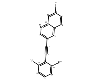 Fc1ccc2cc(C#Cc3c(F)cccc3F)cnc2c1